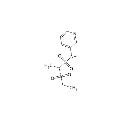 CCS(=O)(=O)C(C)S(=O)(=O)Nc1cccnc1